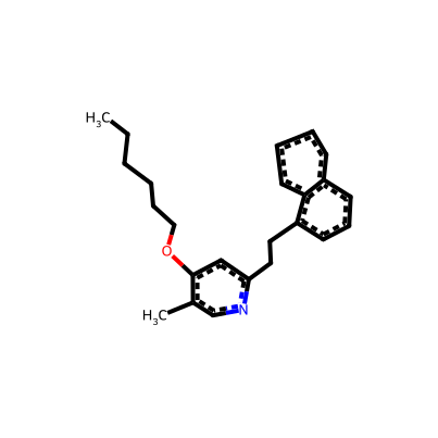 CCCCCCOc1cc(CCc2cccc3ccccc23)ncc1C